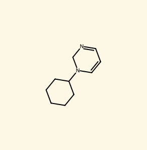 C1=CN(C2CCCCC2)CN=C1